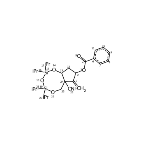 C=C1C(OC(=O)c2ccccc2)CC2O[Si](C(C)C)(C(C)C)O[Si](C(C)C)(C(C)C)OCC12C#N